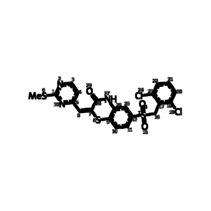 CSc1nccc(C=C2Sc3ccc(S(=O)(=O)Cc4c(Cl)cccc4Cl)cc3NC2=O)n1